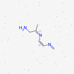 C=N/C=C\N=C(\C)CN